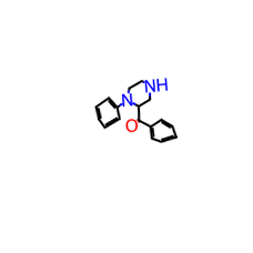 O=C(c1ccccc1)C1CNCCN1c1ccccc1